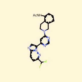 CC(=O)Nc1cccc2c1CCN(c1cc(-c3cnc4ccc(C(F)F)nn34)ncn1)C2